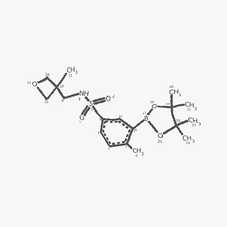 Cc1ccc(S(=O)(=O)NCC2(C)COC2)cc1B1OC(C)(C)C(C)(C)O1